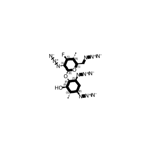 C[C@@H]1[C@@H](O)[C@H](O[C@H]2O[C@H](CN=[N+]=[N-])[C@@H](C)[C@H](F)[C@H]2N=[N+]=[N-])[C@@H](N=[N+]=[N-])C[C@H]1N=[N+]=[N-]